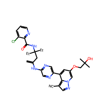 C=C(CC(CC)(CC)NC(=O)c1ncccc1Cl)Nc1cnc(-c2cc(OCC(C)(C)O)cn3ncc(C#N)c23)cn1